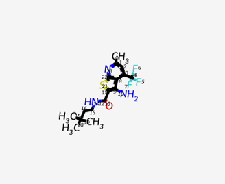 Cc1cc(C(F)(F)F)c2c(N)c(C(=O)NCCC(C)(C)C)sc2n1